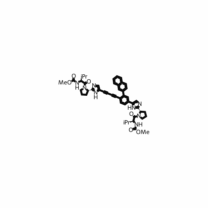 COC(=O)N[C@H](C(=O)N1CCC[C@H]1c1ncc(C#CC#Cc2ccc(-c3cnc([C@@H]4CCCN4C(=O)[C@@H](NC(=O)OC)C(C)C)[nH]3)cc2-c2ccc3ccccc3c2)[nH]1)C(C)C